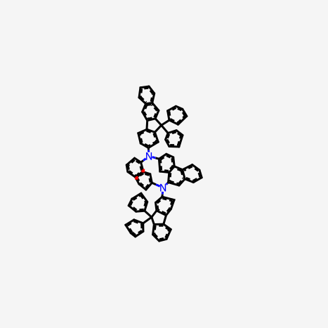 c1ccc(N(c2ccc3c(c2)C(c2ccccc2)(c2ccccc2)c2cc4ccccc4cc2-3)c2ccc3c(c2)c(N(c2ccccc2)c2ccc4c(c2)C(c2ccccc2)(c2ccccc2)c2ccccc2-4)cc2ccccc23)cc1